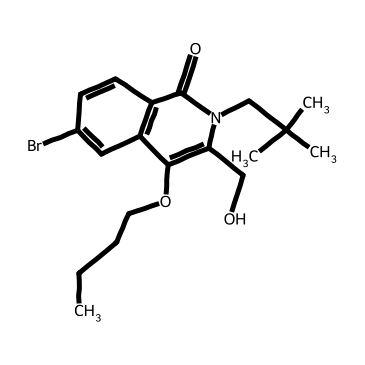 CCCCOc1c(CO)n(CC(C)(C)C)c(=O)c2ccc(Br)cc12